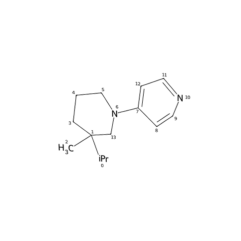 CC(C)C1(C)CCCN(c2ccncc2)C1